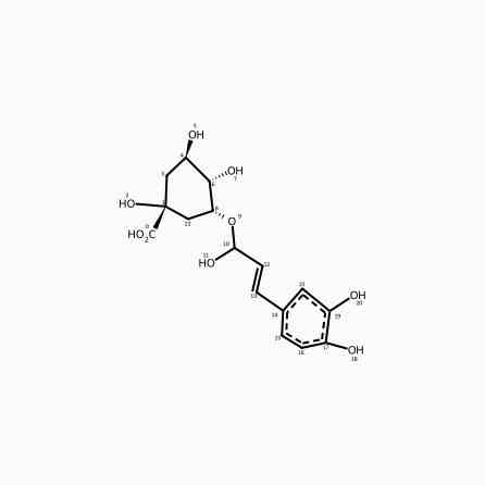 O=C(O)[C@@]1(O)C[C@@H](O)[C@H](O)[C@H](OC(O)/C=C/c2ccc(O)c(O)c2)C1